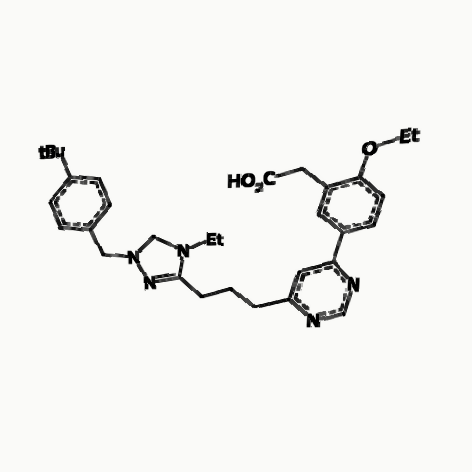 CCOc1ccc(-c2cc(CCCC3=NN(Cc4ccc(C(C)(C)C)cc4)CN3CC)ncn2)cc1CC(=O)O